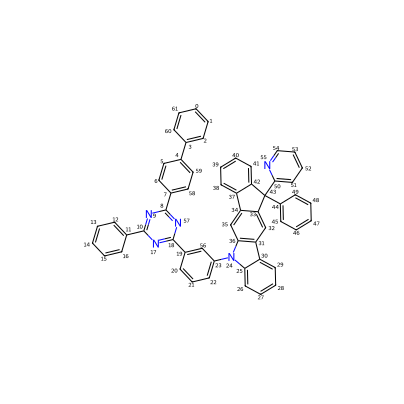 c1ccc(-c2ccc(-c3nc(-c4ccccc4)nc(-c4cccc(-n5c6ccccc6c6cc7c(cc65)-c5ccccc5C7(c5ccccc5)c5ccccn5)c4)n3)cc2)cc1